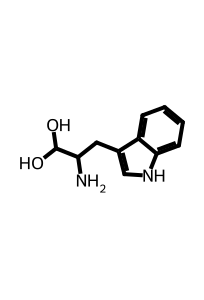 NC(Cc1c[nH]c2ccccc12)C(O)O